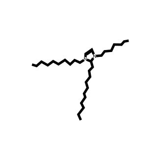 CCCCCCCCCCCC1N(CCCCCCC)C=CN1CCCCCCCCCC